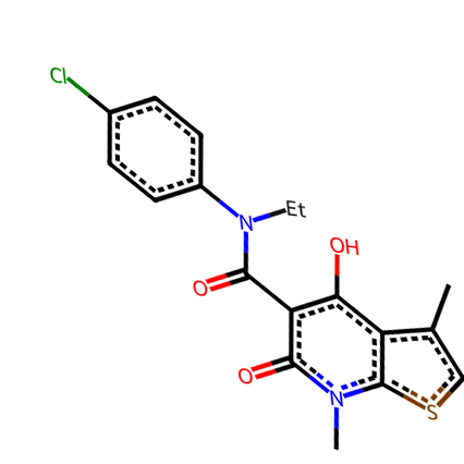 CCN(C(=O)c1c(O)c2c(C)csc2n(C)c1=O)c1ccc(Cl)cc1